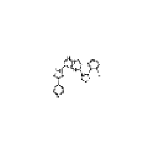 Fc1cccnc1[C@H]1CCCN1c1ccn2ncc(-n3cc(-c4ccncc4)cn3)c2n1